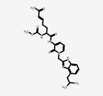 COC(=O)NC(CC/C=C/C(N)=O)C(=O)Nc1cccn(Cc2nc3c(CC(C)C)cccc3[nH]2)c1=O